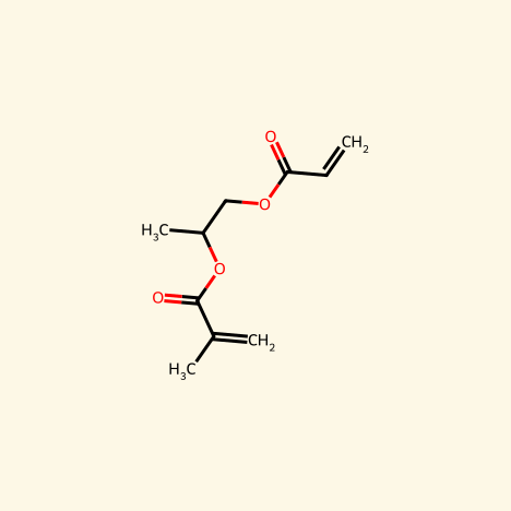 C=CC(=O)OCC(C)OC(=O)C(=C)C